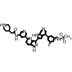 CS(=O)(=O)NCc1cc(F)cc(-c2cncc3[nH]c(-c4n[nH]c5ccc(-c6cncc(NC(=O)CC7CCNCC7)c6)nc45)cc23)c1